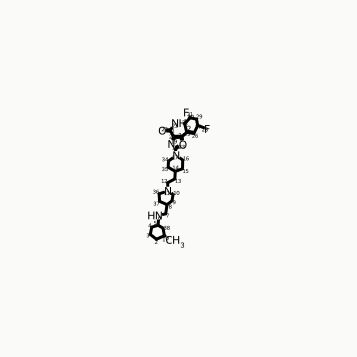 CC1CCCC(NCC2CCN(CCC3CCN(c4nc(C(N)=O)c(C5=CC(F)CC(F)C5)o4)CC3)CC2)C1